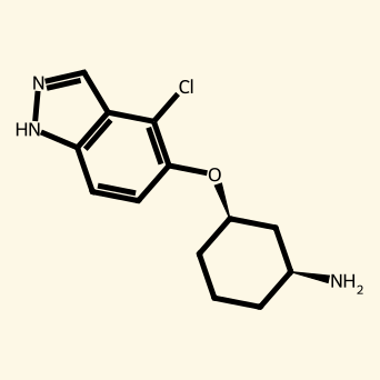 N[C@H]1CCC[C@@H](Oc2ccc3[nH]ncc3c2Cl)C1